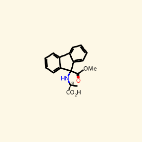 COC(=O)C1(N[C@@H](C)C(=O)O)c2ccccc2-c2ccccc21